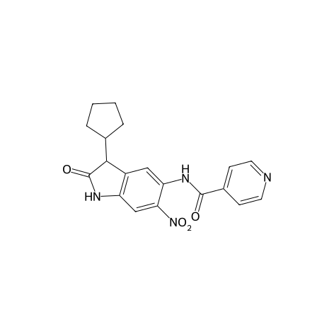 O=C(Nc1cc2c(cc1[N+](=O)[O-])NC(=O)C2C1CCCC1)c1ccncc1